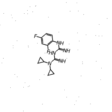 N=C(NC(=N)N(C1CC1)C1CC1)Nc1ccc(F)cc1F